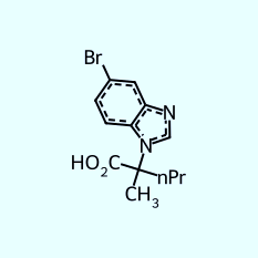 CCCC(C)(C(=O)O)n1cnc2cc(Br)ccc21